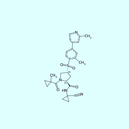 Cc1cc(-c2ccc(S(=O)(=O)[C@@H]3C[C@@H](C(=O)NC4(C#N)CC4)N(C(=O)C4(C)CC4)C3)c(C)c2)ccn1